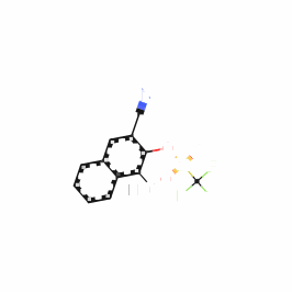 Cc1c(OS(=O)(=O)C(F)(F)F)c(C#N)cc2ccccc12